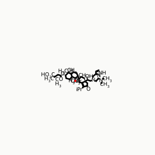 CCC[C@@H]1[C@@]2(C)CC[C@H](OC(=O)CC(C)(C)C(=O)O)C(C)(C)[C@@H]2CC[C@@]1(C)[C@]1(C)CC[C@@]2([C@@H](O)CN(CCN(C)C)Cc3cc[nH]n3)CC(=O)C(C(C)C)=C2C1